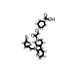 O=C(CO[C@H]1CC[C@@H](C(=O)O)CC1)N1CCc2c(n(Cc3ccc(F)s3)c3ncccc23)C1